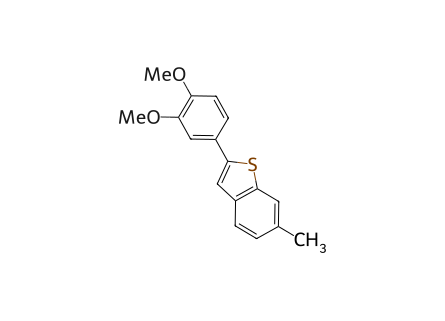 COc1ccc(-c2cc3ccc(C)cc3s2)cc1OC